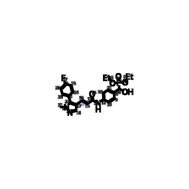 CCOP(=O)(OCC)C(O)c1ccc(NC(=O)/C=C/c2cnn(C)c2-c2ccc(F)cc2)cc1